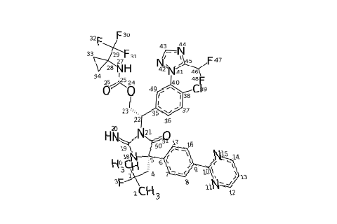 CC(C)(F)C[C@]1(c2ccc(-c3ncccn3)cc2)NC(=N)N([C@H](COC(=O)NC2(C(F)(F)F)CC2)c2ccc(Cl)c(-n3ncnc3C(F)F)c2)C1=O